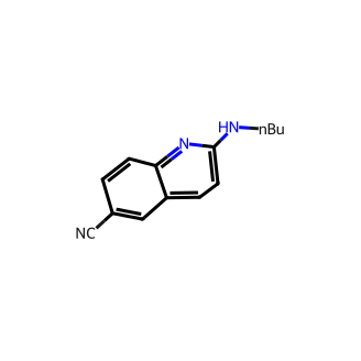 CCCCNc1ccc2cc(C#N)ccc2n1